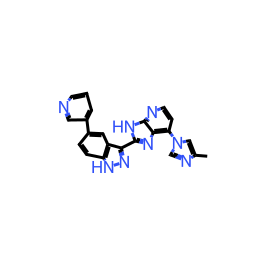 Cc1cn(-c2ccnc3[nH]c(-c4n[nH]c5ccc(-c6cccnc6)cc45)nc23)cn1